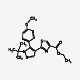 CCOC(=O)c1csc(-c2cnn(C(C)(C)C)c2-c2ccc(OC)cc2)n1